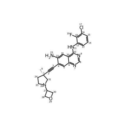 C[C@@]1(C#Cc2cc3ncnc(Nc4cccc(Cl)c4F)c3cc2N)CCN(C2COC2)C1